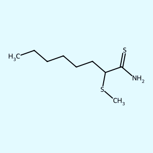 CCCCCCC(SC)C(N)=S